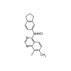 Cc1ccc2c(Nc3ccc4c(c3)CCC4)ncnc2c1I.Cl